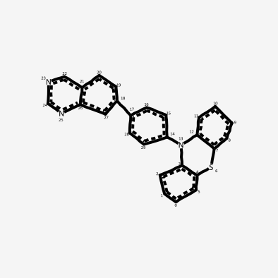 c1ccc2c(c1)Sc1ccccc1N2c1ccc(-c2ccc3cncnc3c2)cc1